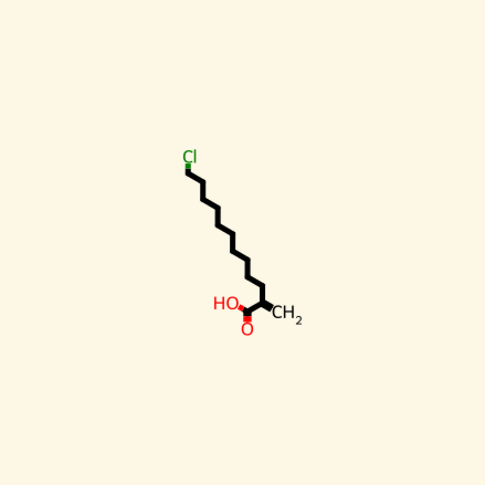 C=C(CCCCCCCCCCCl)C(=O)O